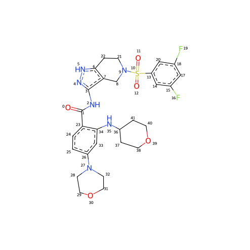 O=C(Nc1n[nH]c2c1CN(S(=O)(=O)c1cc(F)cc(F)c1)CC2)c1ccc(N2CCOCC2)cc1NC1CCOCC1